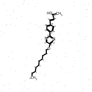 CCCCCCCCCCOc1cnc(-c2ccc(/C=C/C(C)O)cc2)nc1